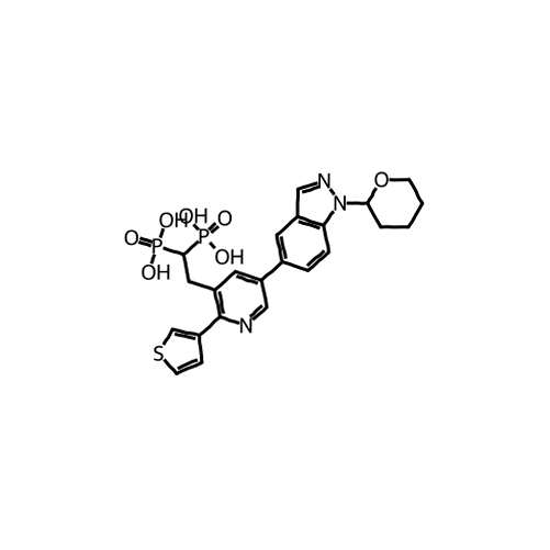 O=P(O)(O)C(Cc1cc(-c2ccc3c(cnn3C3CCCCO3)c2)cnc1-c1ccsc1)P(=O)(O)O